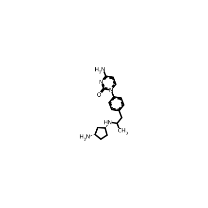 CC(Cc1ccc(-n2ccc(N)nc2=O)cc1)N[C@@H]1CC[C@H](N)C1